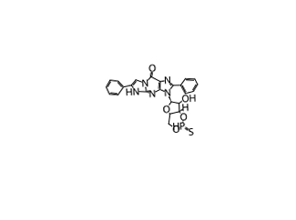 O=c1c2nc(-c3ccccc3)n([C@@H]3OC4CO[PH](=S)O[C@H]4C3O)c2nc2[nH]c(-c3ccccc3)cn12